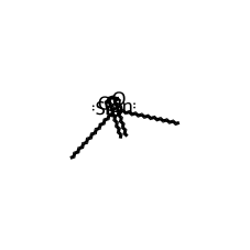 CCCCCCCCCCCCCCCCCCCC(CCCCCCCC)[O][Sn][O]C(=O)/C=C\C(=O)[O][Sn][O]C(CCCCCCCC)CCCCCCCCCCCCCCCCCCC